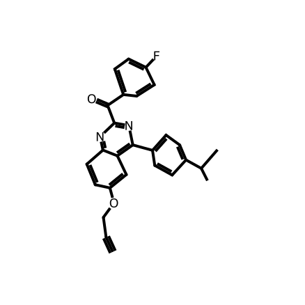 C#CCOc1ccc2nc(C(=O)c3ccc(F)cc3)nc(-c3ccc(C(C)C)cc3)c2c1